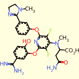 CN1CCN=C1c1cccc(Oc2nc(Oc3cc(C(=N)N)ccc3O)c(F)c(N(C)C(CC(N)=O)C(=O)O)c2F)c1